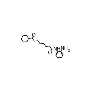 Nc1ccccc1NC(=O)CCCCCCC(=O)C1CCCCC1